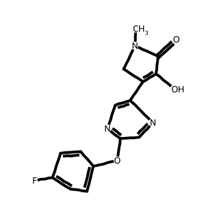 CN1CC(c2cnc(Oc3ccc(F)cc3)cn2)=C(O)C1=O